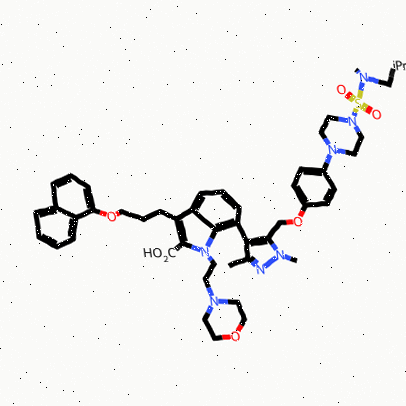 Cc1nn(C)c(COc2ccc(N3CCN(S(=O)(=O)N(C)CC(C)C)CC3)cc2)c1-c1cccc2c(CCCOc3cccc4ccccc34)c(C(=O)O)n(CCN3CCOCC3)c12